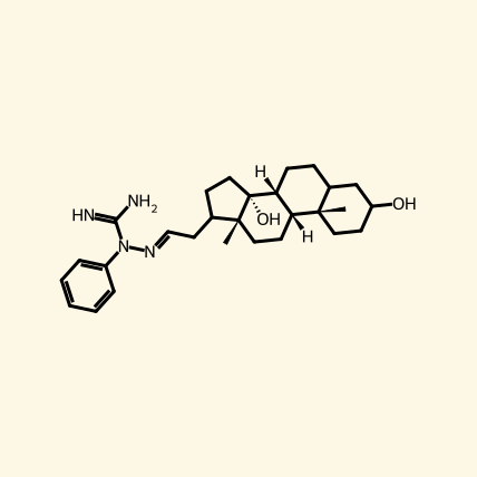 C[C@]12CCC(O)CC1CC[C@@H]1[C@H]2CC[C@]2(C)C(C/C=N/N(C(=N)N)c3ccccc3)CC[C@@]12O